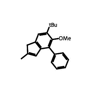 COc1c(C(C)(C)C)cc2c(c1-c1ccccc1)C=C(C)C2